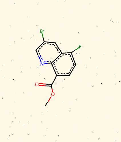 COC(=O)c1ccc(F)c2cc(Br)cnc12